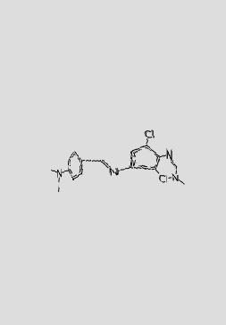 CN(C)/C=N\c1c(Cl)cc(/N=C/c2ccc(N(C)C)cc2)cc1Cl